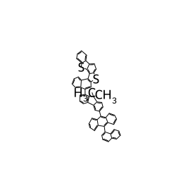 CC1(C)c2ccc(-c3c4ccccc4c(-c4cccc5ccccc45)c4ccccc34)cc2-c2cccc(-c3cc4sc5ccc6c7ccccc7sc6c5c4c4ccccc34)c21